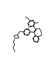 Cc1cc(Cl)cnc1C1=C(c2ccc(CC3CN(CCCF)C3)cc2)c2ccccc2CCC1